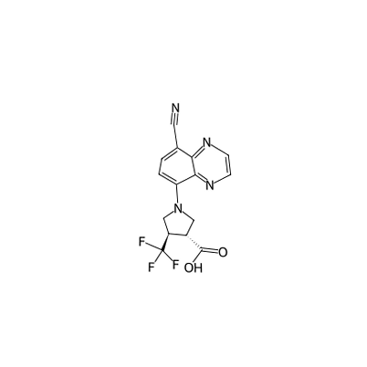 N#Cc1ccc(N2C[C@H](C(=O)O)[C@@H](C(F)(F)F)C2)c2nccnc12